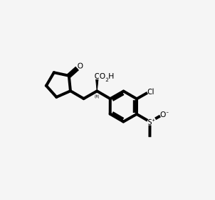 C[S+]([O-])c1ccc([C@@H](CC2CCCC2=O)C(=O)O)cc1Cl